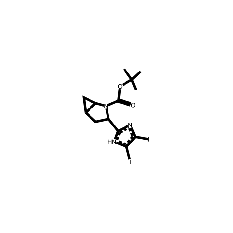 CC(C)(C)OC(=O)N1C(c2nc(I)c(I)[nH]2)CC2CC21